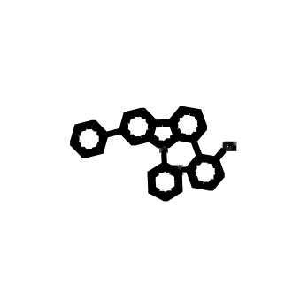 N#Cc1cccc(C#N)c1-c1cccc2c3ccc(-c4ccccc4)cc3n(-c3ccccc3)c12